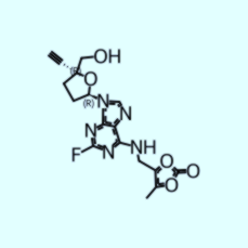 C#C[C@@]1(CO)CC[C@H](n2cnc3c(NCc4oc(=O)oc4C)nc(F)nc32)O1